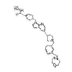 O=C(NO)c1ccc(Cn2ccc3cc(C4CCN(Cc5cccc(CN6CCOCC6)c5)CC4)cnc32)cc1